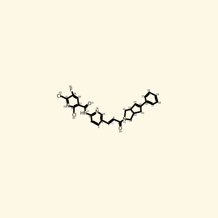 O=C(Nc1ccc(/C=C/C(=O)N2CC3C=C(c4ccccc4)CC3C2)cn1)c1cc(F)c(Cl)nc1Cl